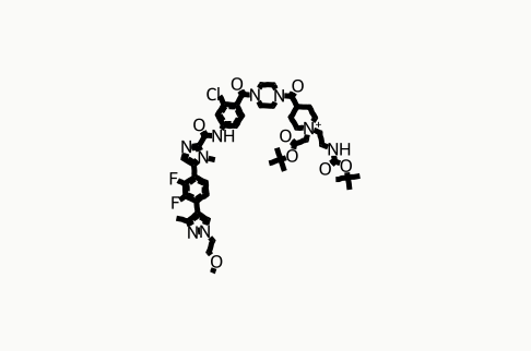 COCCn1cc(-c2ccc(-c3cnc(C(=O)Nc4ccc(C(=O)N5CCN(C(=O)C6CC[N+](CCNC(=O)OC(C)(C)C)(CC(=O)OC(C)(C)C)CC6)CC5)c(Cl)c4)n3C)c(F)c2F)c(C)n1